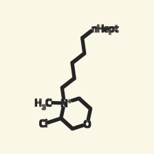 CCCCCCCCCCCC[N+]1(C)CCOCC1Cl